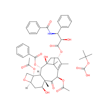 CC(=O)O[C@H]1C(=O)[C@@]2(C)[C@H]([C@H](OC(=O)c3ccccc3)[C@]3(O)C[C@H](OC(=O)[C@H](O)[C@@H](NC(=O)c4ccccc4)c4ccccc4)C(C)=C1C3(C)C)[C@]1(OC(C)=O)CO[C@@H]1C[C@@H]2O.CC(C)(C)OC(=O)O